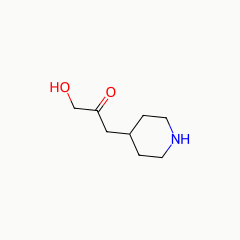 O=C(CO)CC1CCNCC1